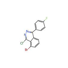 Fc1ccc(-c2nnc(Cl)c3c(Br)cccc23)cc1